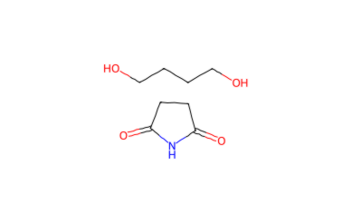 O=C1CCC(=O)N1.OCCCCO